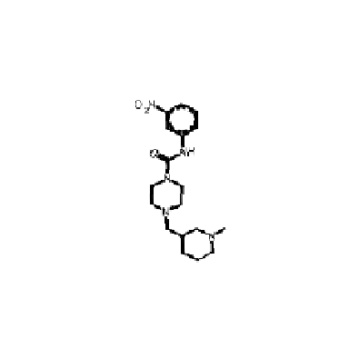 CN1CCCC(CN2CCN(C(=O)Nc3cccc([N+](=O)[O-])c3)CC2)C1